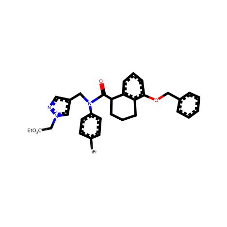 CCOC(=O)Cn1cc(CN(C(=O)C2CCCc3c(OCc4ccccc4)cccc32)c2ccc(C(C)C)cc2)cn1